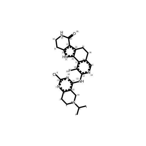 CC(C)N1CCc2nc(Cl)nc(Nc3ncc4c(c3F)-c3[nH]c5c(c3CC4)C(=O)NCC5)c2C1